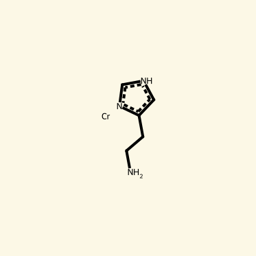 NCCc1c[nH]cn1.[Cr]